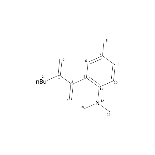 C=C(CCCC)C(=C)c1cc(C)ccc1N(C)C